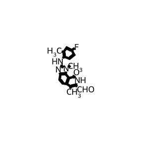 Cc1cc(F)ccc1Nc1nc2ccc3c(C)c(C=O)[nH]c(=O)c3c2n1C